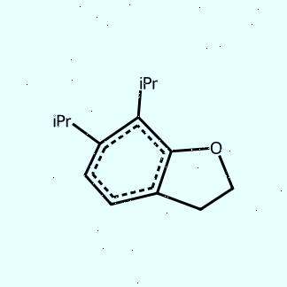 CC(C)c1ccc2c(c1C(C)C)OCC2